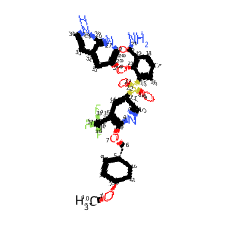 CO[C@H]1CC[C@H](COc2ncc(S(=O)(=O)c3cccc(C(N)=O)c3Oc3cnc4[nH]ccc4c3)cc2C(F)(F)F)CC1